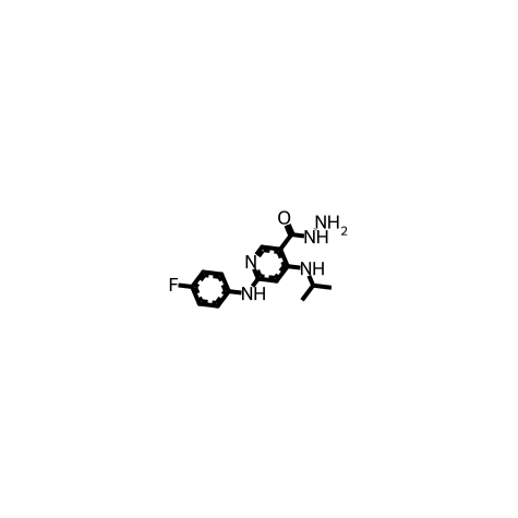 CC(C)Nc1cc(Nc2ccc(F)cc2)ncc1C(=O)NN